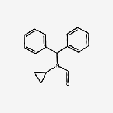 O=CN(C1CC1)C(c1ccccc1)c1ccccc1